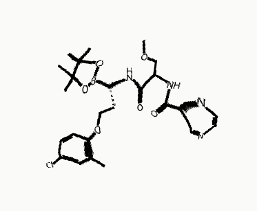 COCC(NC(=O)c1cnccn1)C(=O)N[C@H](CCOc1ccc(Cl)cc1C)B1OC(C)(C)C(C)(C)O1